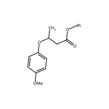 COc1ccc(OC(C)CC(=O)OC(C)C)cc1